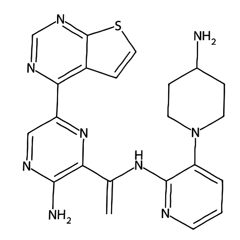 C=C(Nc1ncccc1N1CCC(N)CC1)c1nc(-c2ncnc3sccc23)cnc1N